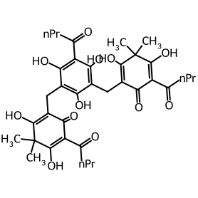 CCCC(=O)C1=C(O)C(C)(C)C(O)=C(Cc2c(O)c(CC3=C(O)C(C)(C)C(O)=C(C(=O)CCC)C3=O)c(O)c(C(=O)CCC)c2O)C1=O